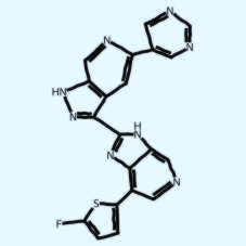 Fc1ccc(-c2cncc3[nH]c(-c4n[nH]c5cnc(-c6cncnc6)cc45)nc23)s1